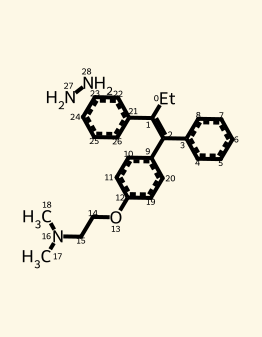 CC/C(=C(\c1ccccc1)c1ccc(OCCN(C)C)cc1)c1ccccc1.NN